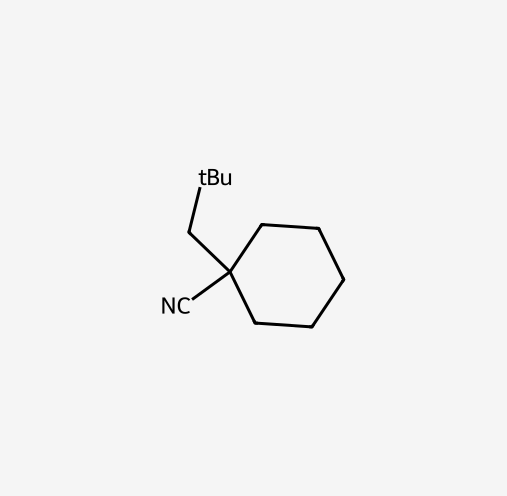 CC(C)(C)CC1(C#N)CCCCC1